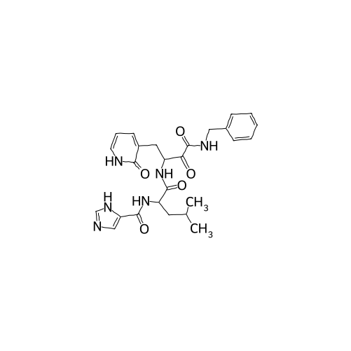 CC(C)CC(NC(=O)c1cnc[nH]1)C(=O)NC(Cc1ccc[nH]c1=O)C(=O)C(=O)NCc1ccccc1